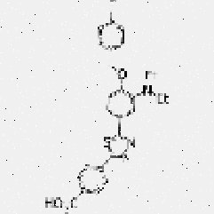 CCN(CC)c1cc(-c2nnc(-c3ccc(C(=O)O)cc3)s2)ccc1OCc1ccc(F)cc1